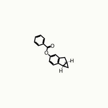 O=C(Oc1ccc2c(c1)C[C@H]1C[C@@H]21)c1ccccc1